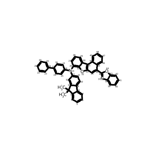 CC1(C)c2ccccc2-c2ccc(N(c3ccc(-c4ccccc4)cc3)c3cccc4c3oc3cc(-c5nc6ccccc6o5)c5ccccc5c34)cc21